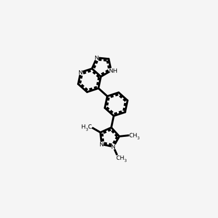 Cc1nn(C)c(C)c1-c1cccc(-c2ccnc3nc[nH]c23)c1